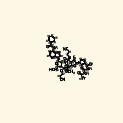 C=CCOP(=O)(OCCC#N)[C@@H]1C(COP(=O)(OCCC#N)[C@@H]2C(CO)OC(n3cnc4c(NC(=O)c5ccccc5)ncnc43)[C@@H]2F)OC(n2cnc3c(=O)[nH]c(NC(=O)C(C)C)nc32)[C@@H]1F